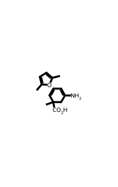 CC1(C(=O)O)C=CC=C(N)C1.Cc1ccc(C)o1